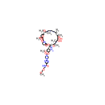 COCCOCCNC(=O)c1cnc(N2CCN(C(=O)O[C@@H]3CC[C@@H](C[C@@H](N)[C@@H]4CC(=O)[C@H](C)/C=C(\C)[C@@H](O)[C@@H](O)C(=O)[C@H](C)C[C@H](C)/C=C/C=C/C=C(\C)[C@@H](OC)C[C@@H]5CC[C@@H](C)[C@@](O)(O5)C(=O)C(=O)N5CCCC[C@H]5C(=O)O4)C[C@H]3OC)CC2)nc1